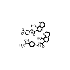 CN(C)c1ccc(CNC(=O)c2ccc3cccnc3c2O)cc1.O=C(NC1CCS(=O)(=O)C1)c1ccc2cccnc2c1O